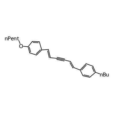 CCCCCOc1ccc(C=CC#CC=Cc2ccc(CCCC)cc2)cc1